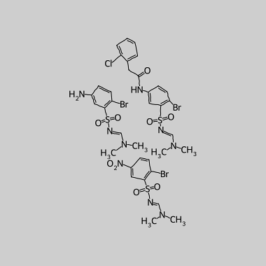 CN(C)C=NS(=O)(=O)c1cc(N)ccc1Br.CN(C)C=NS(=O)(=O)c1cc(NC(=O)Cc2ccccc2Cl)ccc1Br.CN(C)C=NS(=O)(=O)c1cc([N+](=O)[O-])ccc1Br